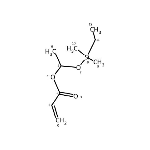 C=CC(=O)OC(C)O[Si](C)(C)CC